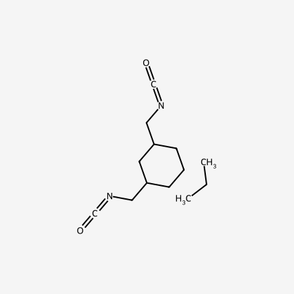 CCC.O=C=NCC1CCCC(CN=C=O)C1